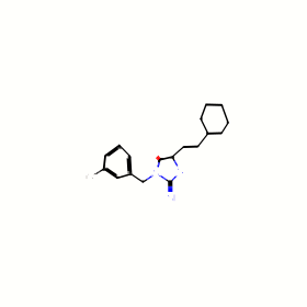 N=C1NC(CCC2CCCCC2)C(=O)N1Cc1cccc(N=O)c1